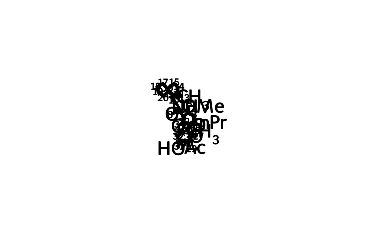 CCCOc1cc(OC)c(C(=O)NCc2c(C)ccc3ccccc23)c2c1[C@]1(C)C(=O)C(C(C)=O)=C(O)C=C1O2